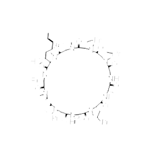 C/C=C/C[C@@H](C)[C@@H](O)[C@H]1C(=O)N[C@@H](CC)C(=O)N(C)CC(=O)N(C)[C@@H](C(C)C)C(=O)N[C@H](C(C)C)C(=O)N(C)[C@H](CCC(C)C)C(=O)N[C@H](C)C(=O)N[C@@H](C)C(=O)N(C)[C@@H](CC(C)C)C(=O)N(C)[C@@H](CC(C)C)C(=O)N(C)[C@@H](C(C)C)C(=O)N1C